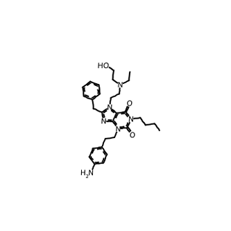 CCCCn1c(=O)c2c(nc(Cc3ccccc3)n2CCN(CC)CCO)n(CCc2ccc(N)cc2)c1=O